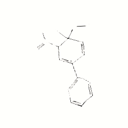 COC1(N)C=CC(c2ccccc2)=CC1[N+](=O)[O-]